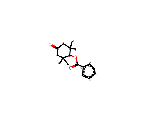 CC1(C)CC(=O)CC(C)(C)C1OC(=O)c1ccccc1